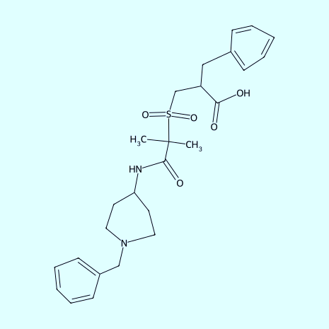 CC(C)(C(=O)NC1CCN(Cc2ccccc2)CC1)S(=O)(=O)CC(Cc1ccccc1)C(=O)O